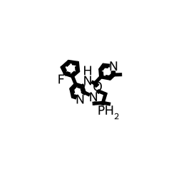 Cc1cc(C(=O)Nc2c(-c3ccccc3F)ccnc2N2CCC(C)(P)C2)ccn1